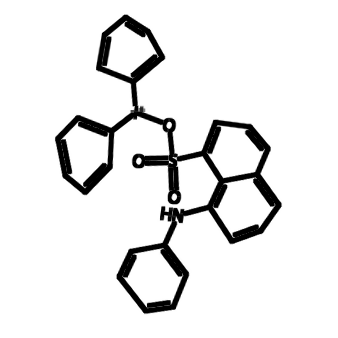 O=S(=O)(O[I+](c1ccccc1)c1ccccc1)c1cccc2cccc(Nc3ccccc3)c12